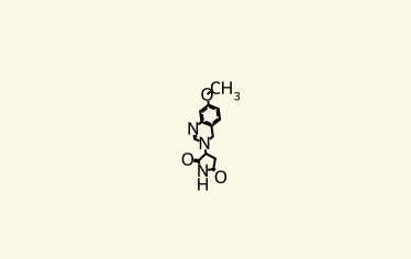 COc1ccc2c(c1)N=CN(C1CC(=O)NC1=O)C2